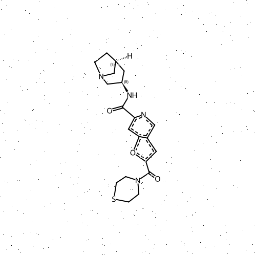 O=C(N[C@@H]1C[C@@H]2CCN(C2)C1)c1cc2oc(C(=O)N3CCSCC3)cc2cn1